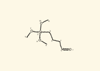 CO[Si](CCCC=O)(OC)OC